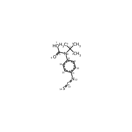 CC(C)(C)N(C(=O)O)c1ccc(N=C=S)cc1